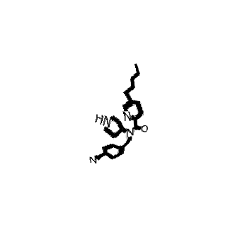 CCCCCc1ccc(C(=O)N(Cc2ccc(C#N)cc2)C2CCNCC2)nc1